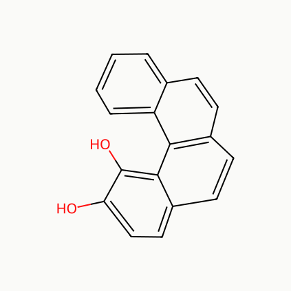 Oc1ccc2ccc3ccc4ccccc4c3c2c1O